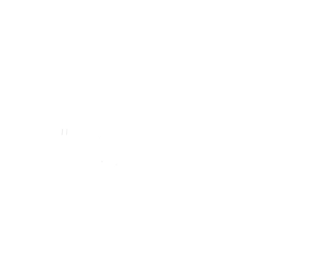 Cc1ccc(OC2CCCC2C(C)C)cc1